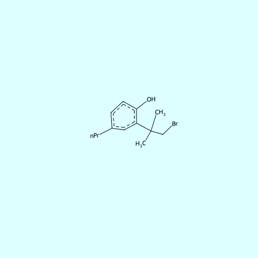 CCCc1ccc(O)c(C(C)(C)CBr)c1